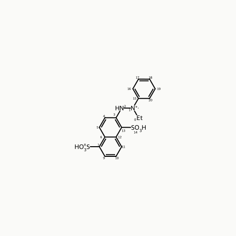 CC[N+](Nc1ccc2c(S(=O)(=O)O)cccc2c1S(=O)(=O)O)c1ccccc1